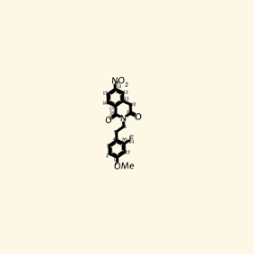 COc1ccc(CCN2C(=O)Cc3cc([N+](=O)[O-])ccc3C2=O)c(F)c1